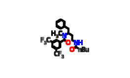 CCCCC(=O)NCCC(Cc1ccccc1)N(C)C(=O)c1cc(C(F)(F)F)cc(C(F)(F)F)c1